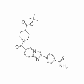 CC(C)(C)OC(=O)C1CCN(C(=O)c2ccc3nc(-c4ccc(C(N)=S)cc4)cn3c2)CC1